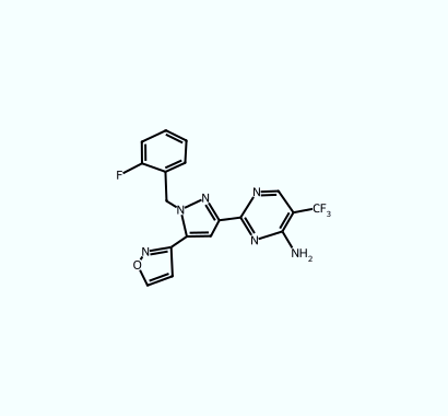 Nc1nc(-c2cc(-c3ccon3)n(Cc3ccccc3F)n2)ncc1C(F)(F)F